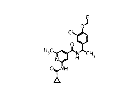 Cc1cc(C(=O)NC(C)c2ccc(OCF)c(Cl)c2)cc(NC(=O)C2CC2)n1